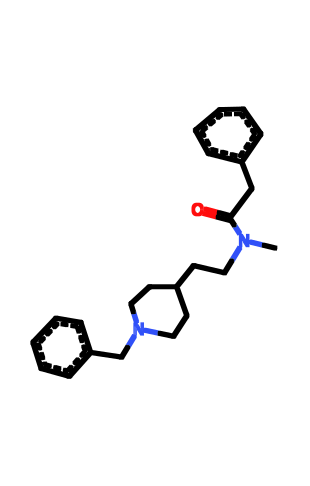 CN(CCC1CCN(Cc2ccccc2)CC1)C(=O)Cc1ccccc1